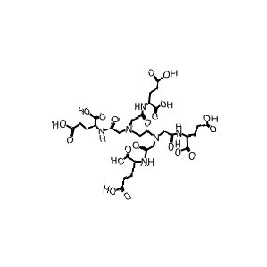 O=C(O)CCC(NC(=O)CN(CCN(CC(=O)NC(CCC(=O)O)C(=O)O)CC(=O)NC(CCC(=O)O)C(=O)O)CC(=O)NC(CCC(=O)O)C(=O)O)C(=O)O